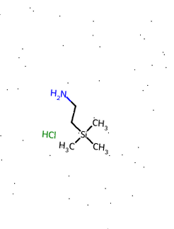 C[Si](C)(C)CCN.Cl